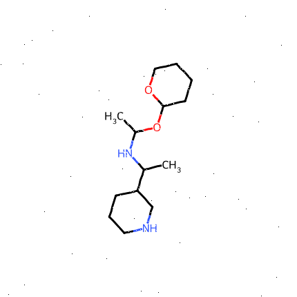 CC(NC(C)C1CCCNC1)OC1CCCCO1